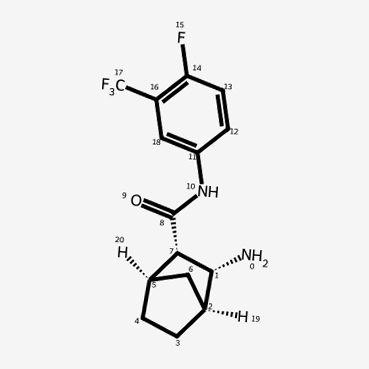 N[C@@H]1[C@H]2CC[C@H](C2)[C@@H]1C(=O)Nc1ccc(F)c(C(F)(F)F)c1